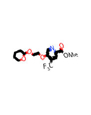 COC(=O)c1cc(C(F)(F)F)c(OCCOC2CCCCO2)cn1